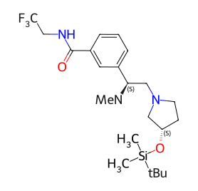 CN[C@H](CN1CC[C@H](O[Si](C)(C)C(C)(C)C)C1)c1cccc(C(=O)NCC(F)(F)F)c1